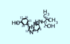 CC(C)[C@@H](CO)Nc1ccc2ncc(-c3cccc(O)c3)n2n1